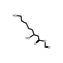 O=COC(=O)CC(O)CCCCCO